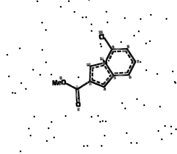 COC(=O)c1cc2cccc(Cl)n2c1